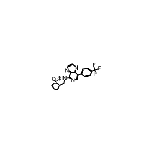 O=S1(=O)CCCC1CNc1ncc(-c2ccc(C(F)(F)F)cc2)c2nccnc12